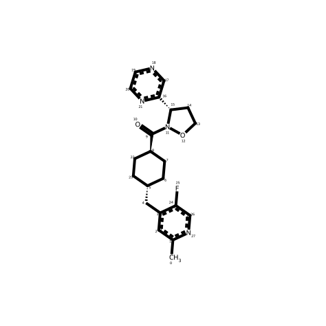 Cc1cc(C[C@H]2CC[C@H](C(=O)N3OCC[C@H]3c3cnccn3)CC2)c(F)cn1